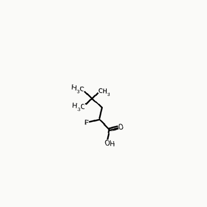 CC(C)(C)CC(F)C(=O)O